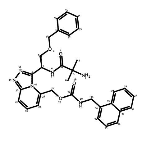 CC(C)(N)C(=O)N[C@H](COCc1ccccc1)c1nnc2cccc(COC(=O)NCc3cccc4ccccc34)n12